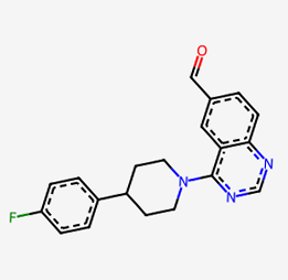 O=Cc1ccc2ncnc(N3CCC(c4ccc(F)cc4)CC3)c2c1